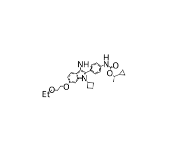 CCOCCOc1ccc2c(N)c(-c3ccc(NC(=O)OC(C)C4CC4)cc3)n(C3CCC3)c2c1